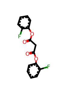 O=C(CC(=O)Oc1ccccc1F)Oc1ccccc1F